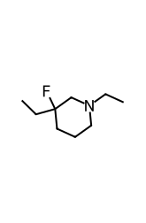 CCN1CCCC(F)(CC)C1